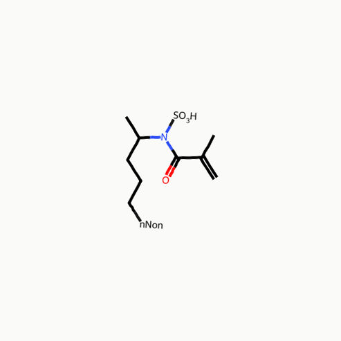 C=C(C)C(=O)N(C(C)CCCCCCCCCCCC)S(=O)(=O)O